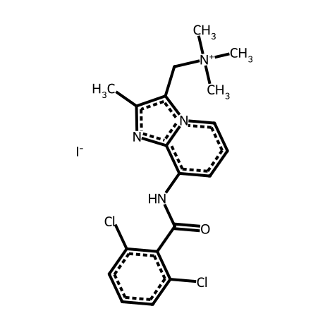 Cc1nc2c(NC(=O)c3c(Cl)cccc3Cl)cccn2c1C[N+](C)(C)C.[I-]